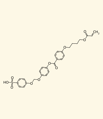 C=CC(=O)OCCCCOc1ccc(C(=O)Oc2ccc(OCOc3ccc(S(=O)(=O)O)cc3)cc2)cc1